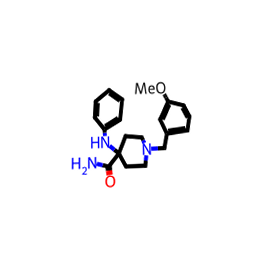 COc1cccc(CN2CCC(Nc3ccccc3)(C(N)=O)CC2)c1